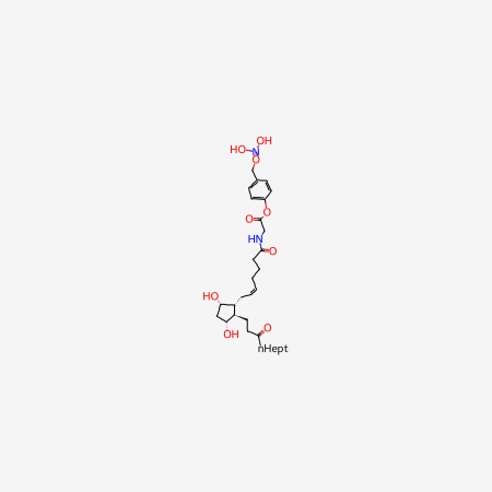 CCCCCCCC(=O)CC[C@@H]1[C@@H](C/C=C\CCCC(=O)NCC(=O)Oc2ccc(CON(O)O)cc2)[C@@H](O)C[C@H]1O